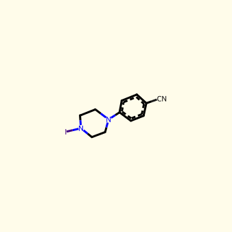 N#Cc1ccc(N2CCN(I)CC2)cc1